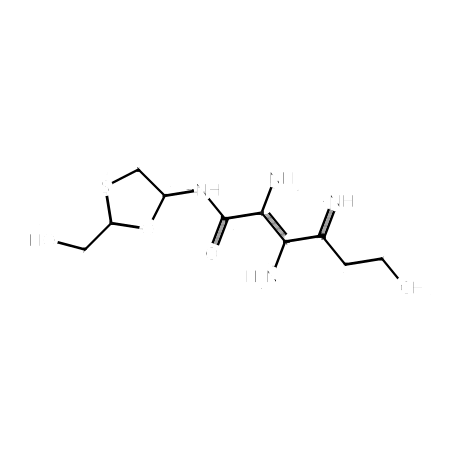 CCCC(=N)/C(N)=C(\N)C(=O)NC1CSC(CO)O1